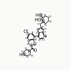 O=C([C@H]1Cc2cc(Cl)cc(-c3ccnc4cc(CN5CCCCS5(O)O)sc34)c2O1)N1CCNCC1